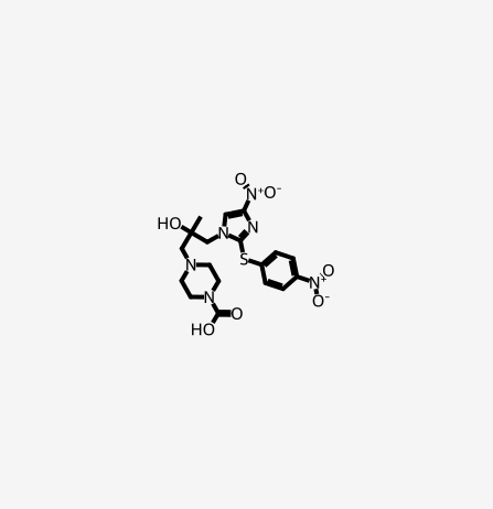 CC(O)(CN1CCN(C(=O)O)CC1)Cn1cc([N+](=O)[O-])nc1Sc1ccc([N+](=O)[O-])cc1